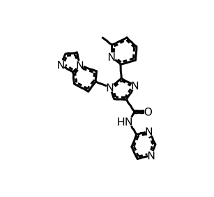 Cc1cccc(-c2nc(C(=O)Nc3ccncn3)cn2-c2ccc3nccn3c2)n1